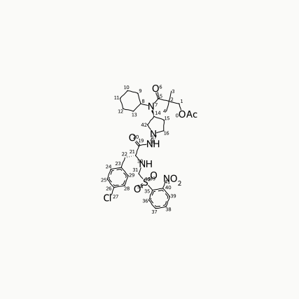 CC(=O)OCC(C)(C)C(=O)N(C1CCCCC1)[C@H]1CCN(NC(=O)[C@@H](Cc2ccc(Cl)cc2)NCS(=O)(=O)c2ccccc2[N+](=O)[O-])C1